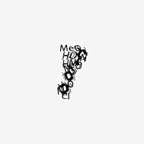 COc1ccnc(C(=O)Nc2nc3ccc(Oc4ccnc(Cl)c4)cc3s2)c1O